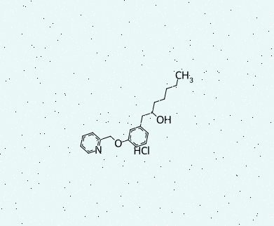 CCCCCC(O)Cc1cccc(OCc2ccccn2)c1.Cl